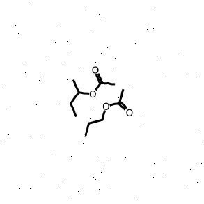 CCC(C)OC(C)=O.CCCOC(C)=O